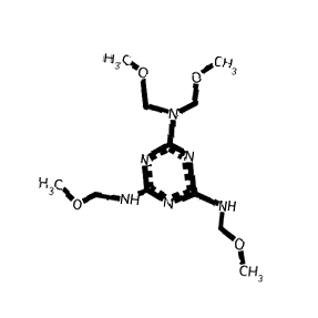 COCNc1nc(NCOC)nc(N(COC)COC)n1